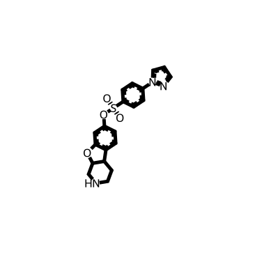 O=S(=O)(Oc1ccc2c(c1)OC1CNCCC21)c1ccc(-n2cccn2)cc1